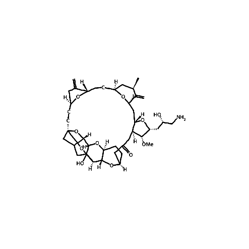 C=C1C[C@@H]2CC[C@@]34CC5CC6(O)[C@@H](O3)[C@H]3O[C@H](CC[C@@H]3O[C@H]6[C@H]5O4)CC(=O)C[C@@H]3[C@@H](OC)[C@@H](C[C@H](O)CN)O[C@H]3C[C@H]3O[C@@H](CC[C@@H]1O2)C[C@@H](C)C3=C